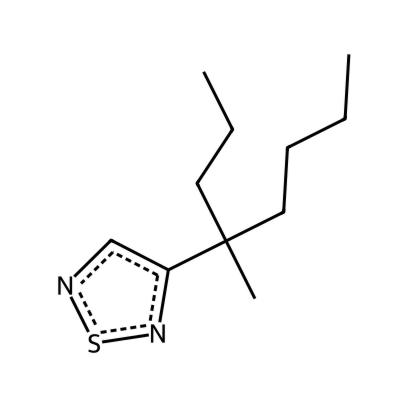 CCCCC(C)(CCC)c1cnsn1